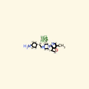 Cc1cnc(N2CCN(CC[C@H]3CC[C@H](N)CC3)CC2)c2c1OCC2.Cl.Cl.Cl